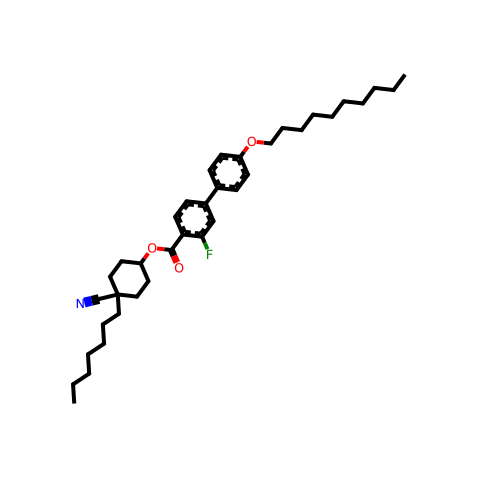 CCCCCCCCCCOc1ccc(-c2ccc(C(=O)OC3CCC(C#N)(CCCCCCC)CC3)c(F)c2)cc1